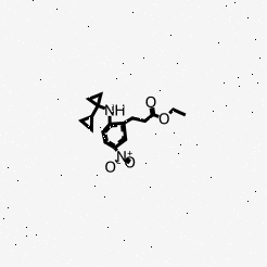 CCOC(=O)CCc1cc([N+](=O)[O-])ccc1NC1(C2CC2)CC1